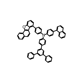 c1ccc(-c2cc(-c3ccccc3)cc(-c3ccc(N(c4ccc(-c5cccc6ccccc56)cc4)c4ccc(-c5cccc6oc7c8ccccc8ccc7c56)cc4)cc3)c2)cc1